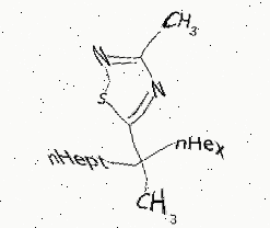 CCCCCCCC(C)(CCCCCC)c1nc(C)ns1